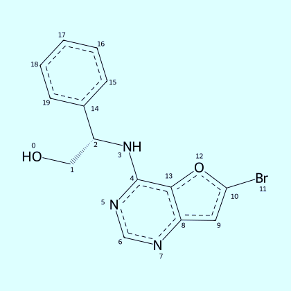 OC[C@@H](Nc1ncnc2cc(Br)oc12)c1ccccc1